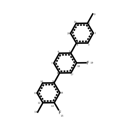 Cc1ccc(-c2ccc(-c3ccc(C)c(F)c3)cc2F)cc1